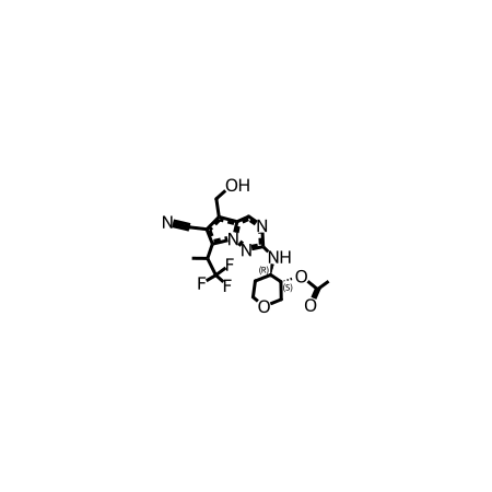 CC(=O)O[C@@H]1COCC[C@H]1Nc1ncc2c(CO)c(C#N)c(C(C)C(F)(F)F)n2n1